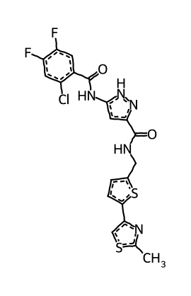 Cc1nc(-c2ccc(CNC(=O)c3cc(NC(=O)c4cc(F)c(F)cc4Cl)[nH]n3)s2)cs1